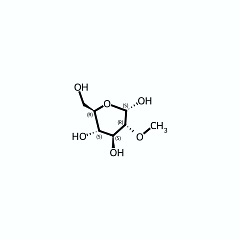 CO[C@@H]1[C@@H](O)[C@H](O)[C@@H](CO)O[C@@H]1O